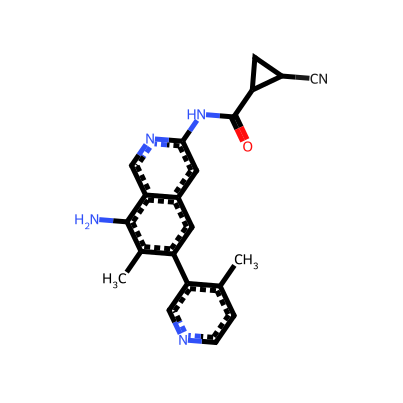 Cc1ccncc1-c1cc2cc(NC(=O)C3CC3C#N)ncc2c(N)c1C